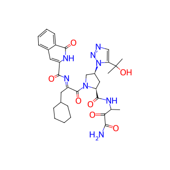 CC(NC(=O)[C@@H]1C[C@H](n2nncc2C(C)(C)O)CN1C(=O)/C(CC1CCCCC1)=N/C(=O)c1cc2ccccc2c(=O)[nH]1)C(=O)C(N)=O